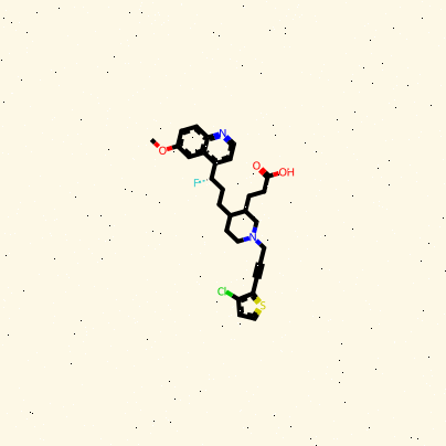 COc1ccc2nccc([C@@H](F)CCC3CCN(CC#Cc4sccc4Cl)CC3CCC(=O)O)c2c1